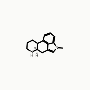 Cn1cc2c3c(cccc31)C1CCCN[C@@H]1C2